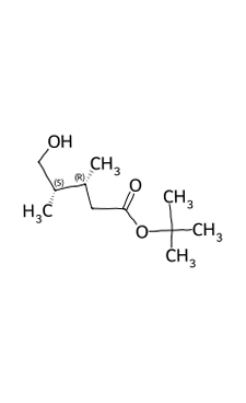 C[C@H](CO)[C@H](C)CC(=O)OC(C)(C)C